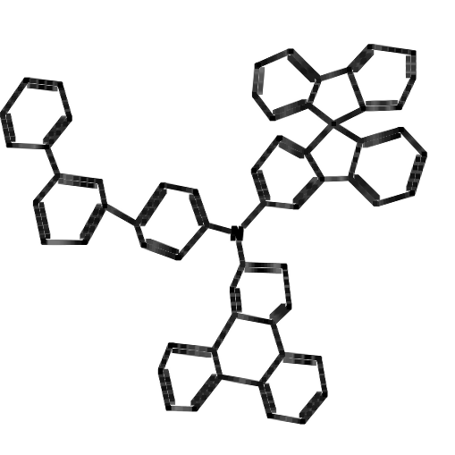 c1ccc(-c2cccc(-c3ccc(N(c4ccc5c(c4)-c4ccccc4C54c5ccccc5-c5ccccc54)c4ccc5c6ccccc6c6ccccc6c5c4)cc3)c2)cc1